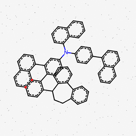 c1ccc2c(c1)CCC(c1ccccc1-c1ccc(N(c3ccc(-c4cccc5ccccc45)cc3)c3cccc4ccccc34)cc1-c1cccc3ccccc13)c1ccccc1-2